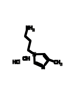 Cc1cn(CCCN)cn1.Cl.Cl